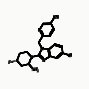 N#Cc1ccc(Cn2c(N3CC[C@@H](F)CC3N)nc3cc(Cl)ccc32)nc1